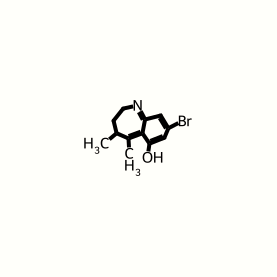 CC1=c2c(O)cc(Br)cc2=NCCC1C